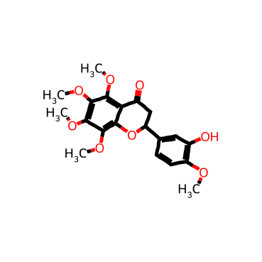 COc1ccc(C2CC(=O)c3c(OC)c(OC)c(OC)c(OC)c3O2)cc1O